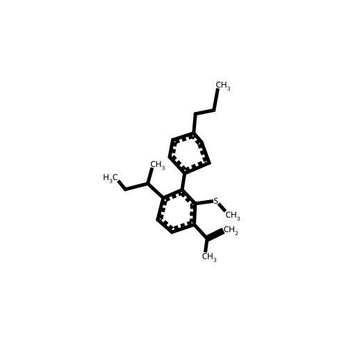 C=C(C)c1ccc(C(C)CC)c(-c2ccc(CCC)cc2)c1SC